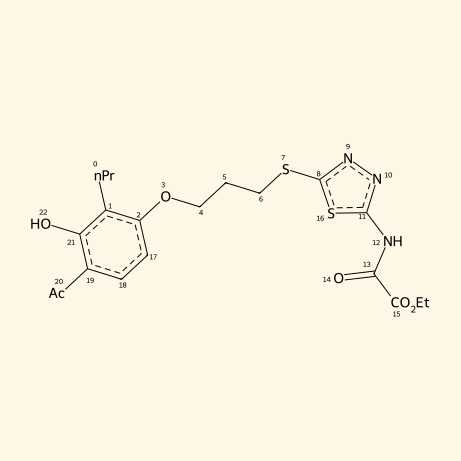 CCCc1c(OCCCSc2nnc(NC(=O)C(=O)OCC)s2)ccc(C(C)=O)c1O